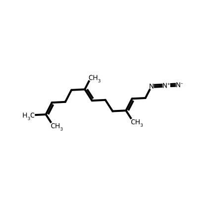 CC(C)=CCCC(C)=CCCC(C)=CCN=[N+]=[N-]